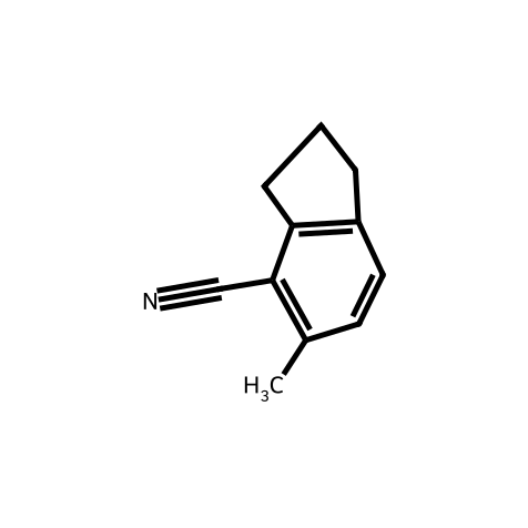 Cc1ccc2c(c1C#N)CCC2